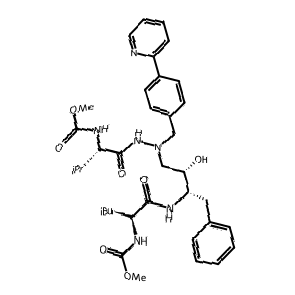 CC[C@H](C)[C@H](NC(=O)OC)C(=O)N[C@@H](Cc1ccccc1)[C@@H](O)CN(Cc1ccc(-c2ccccn2)cc1)NC(=O)[C@@H](NC(=O)OC)C(C)C